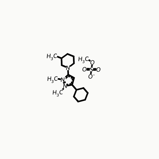 CC1CCCN(c2cc(C3CCCCC3)n(C)[n+]2C)C1.COS(=O)(=O)[O-]